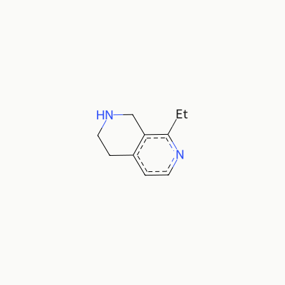 CCc1nccc2c1CNCC2